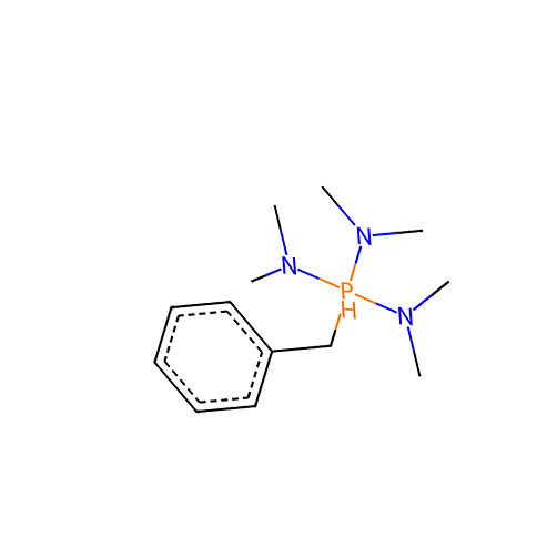 CN(C)[PH](Cc1ccccc1)(N(C)C)N(C)C